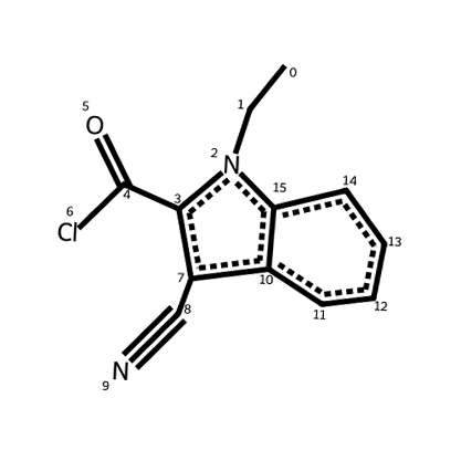 CCn1c(C(=O)Cl)c(C#N)c2ccccc21